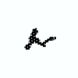 CCN(CCOCCNC(=O)O)CCOc1ccc(Oc2c(-c3ccc(S(C)(=O)=O)cc3)ccc3cc(OCc4ccccc4)ccc23)cc1